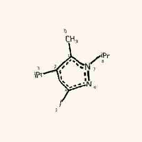 Cc1c(C(C)C)c(I)nn1C(C)C